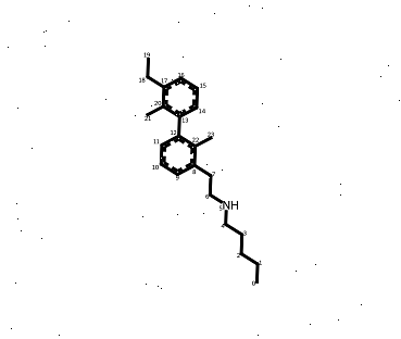 CCCCCNCCc1cccc(-c2cccc(CC)c2C)c1C